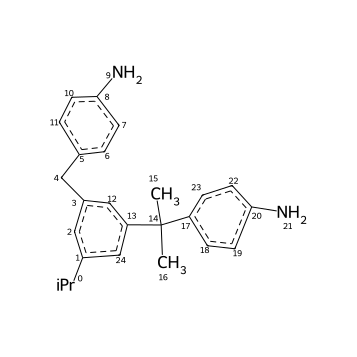 CC(C)c1cc(Cc2ccc(N)cc2)cc(C(C)(C)c2ccc(N)cc2)c1